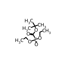 CCOP(=O)(OCC)C(=O)OC(C)(C)C